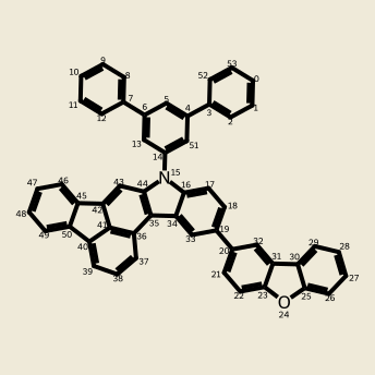 c1ccc(-c2cc(-c3ccccc3)cc(-n3c4ccc(-c5ccc6oc7ccccc7c6c5)cc4c4c5cccc6c5c(cc43)-c3ccccc3-6)c2)cc1